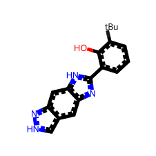 CC(C)(C)c1cccc(-c2nc3cc4c[nH]nc4cc3[nH]2)c1O